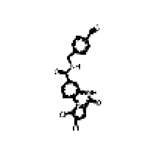 N#Cc1ccc(CNC(=O)c2ccc3c(c2)[nH]c(=O)c2cc(Cl)c(Cl)n23)cc1